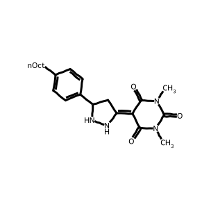 CCCCCCCCc1ccc(C2CC(=C3C(=O)N(C)C(=O)N(C)C3=O)NN2)cc1